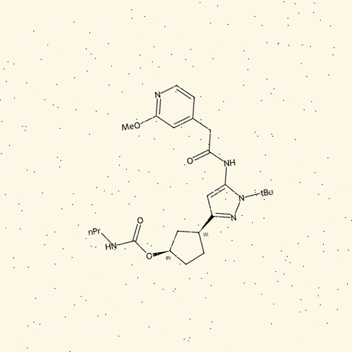 CCCNC(=O)O[C@@H]1CC[C@H](c2cc(NC(=O)Cc3ccnc(OC)c3)n(C(C)(C)C)n2)C1